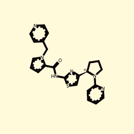 O=C(Nc1nc([C@H]2CCCN2c2ccccn2)cs1)c1cccn1Cc1ccncc1